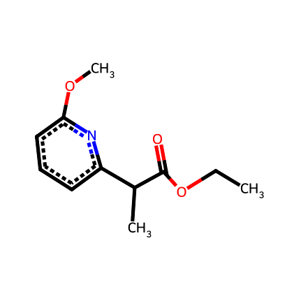 CCOC(=O)C(C)c1cccc(OC)n1